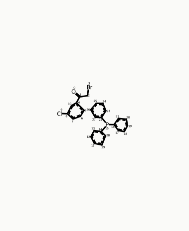 O=C(CBr)c1cccc(Cl)c1.c1ccc(P(c2ccccc2)c2ccccc2)cc1